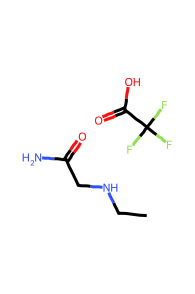 CCNCC(N)=O.O=C(O)C(F)(F)F